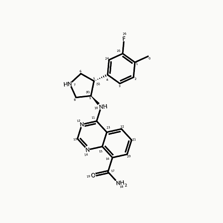 Cc1ccc([C@H]2CNC[C@@H]2Nc2ncnc3c(C(N)=O)cccc23)cc1F